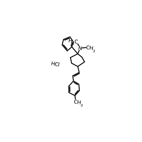 Cc1ccc(/C=C/C2CCC(c3ccccc3)(N(C)C)CC2)cc1.Cl